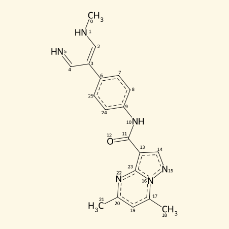 CN/C=C(\C=N)c1ccc(NC(=O)c2cnn3c(C)cc(C)nc23)cc1